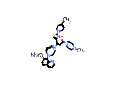 COc1ccc2cccnc2c1N1CCCN(C(CC(=O)N2CCN(C)CC2)c2csc(N3CCC(C)CC3)n2)CC1